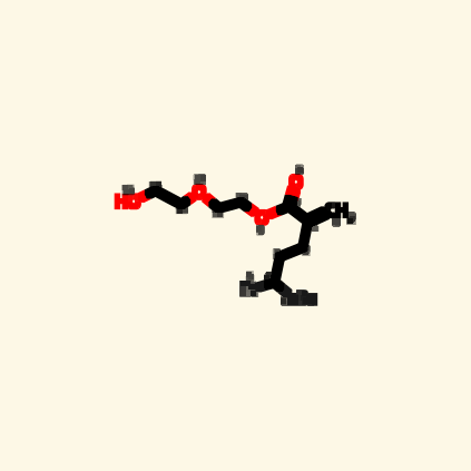 C=C(CCC(CC)CCCC)C(=O)OCCOCCO